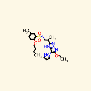 CCCCOc1ccc(C)cc1S(=O)(=O)NCC(C)c1nn2nc(OCC)c(-n3cccn3)c2[nH]1